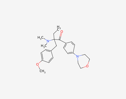 CCC(Cc1ccc(OC)cc1)(C(=O)c1ccc(N2CCOCC2)cc1)N(C)C